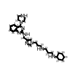 c1ccc2c(N3CCNCC3)nc(NCc3cn(CCCNCCCNC4CCCCC4)nn3)nc2c1